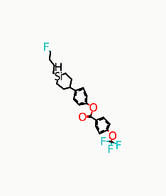 O=C(Oc1ccc(C2CC[SiH](CCCCF)CC2)cc1)c1ccc(OC(F)(F)F)cc1